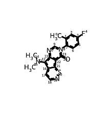 Cc1cc(F)ccc1-n1cnc2c(N(C)C)c3ccnsc-3c2c1=O